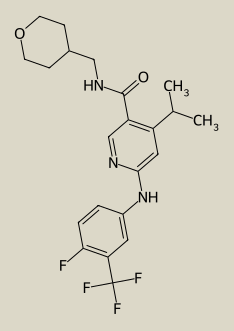 CC(C)c1cc(Nc2ccc(F)c(C(F)(F)F)c2)ncc1C(=O)NCC1CCOCC1